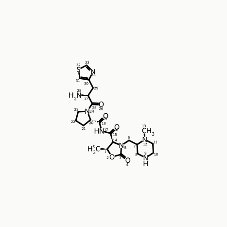 C[C@@H]1OC(=O)N(CC2CNCCN2C)[C@@H]1C(=O)NC(=O)[C@@H]1CCCN1C(=O)[C@@H](N)Cc1cscn1